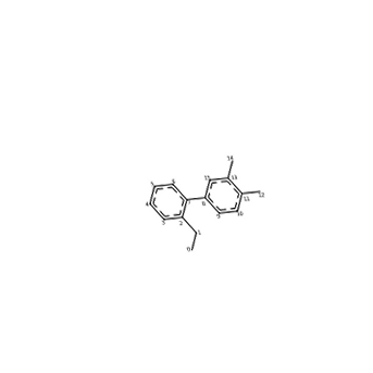 CCc1ccccc1-c1ccc(C)c(C)c1